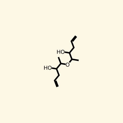 C=CCC(O)C(C)OC(C)C(O)CC=C